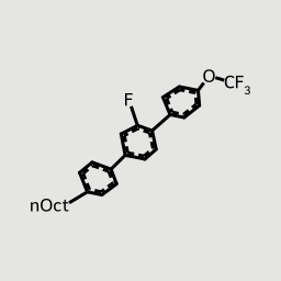 CCCCCCCCc1ccc(-c2ccc(-c3ccc(OC(F)(F)F)cc3)c(F)c2)cc1